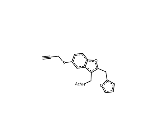 C#CCSc1ccc2oc(Cc3ccco3)c(CNC(C)=O)c2c1